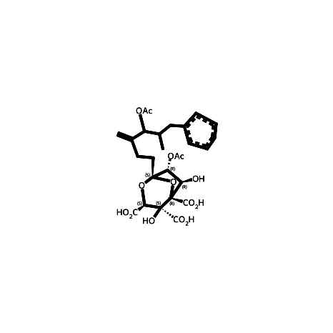 C=C(CC[C@]12O[C@H](C(=O)O)[C@@](O)(C(=O)O)[C@](C(=O)O)(O1)[C@H](O)[C@H]2OC(C)=O)C(OC(C)=O)C(C)Cc1ccccc1